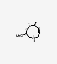 COC1CNCC=CC(C)OC1